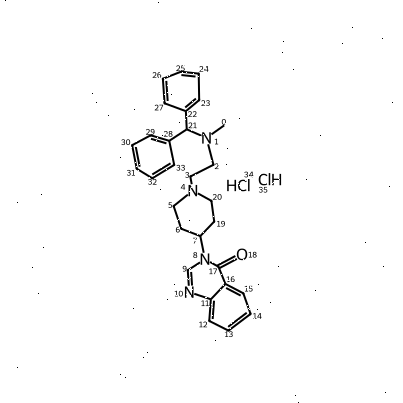 CN(CCN1CCC(n2cnc3ccccc3c2=O)CC1)C(c1ccccc1)c1ccccc1.Cl.Cl